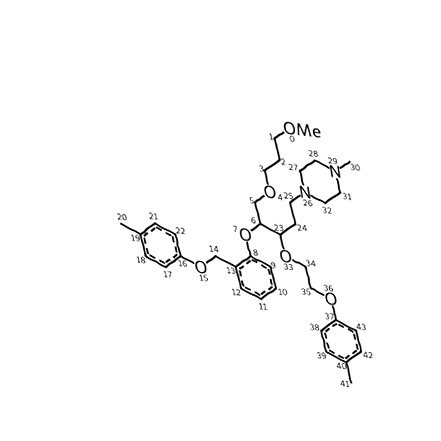 COCCCOCC(Oc1ccccc1COc1ccc(C)cc1)C(CCN1CCN(C)CC1)OCCOc1ccc(C)cc1